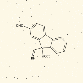 B=C[Si]1(CCCCCCCC)c2ccccc2-c2ccc(C=O)cc21